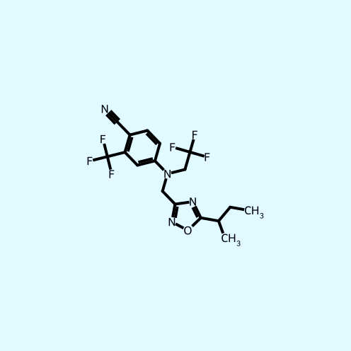 CCC(C)c1nc(CN(CC(F)(F)F)c2ccc(C#N)c(C(F)(F)F)c2)no1